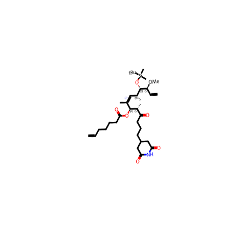 C=CCCCCC(=O)O[C@@H](/C(C)=C\[C@@H](C)[C@H](O[Si](C)(C)C(C)(C)C)[C@H](C=C)OC)[C@H](C)C(=O)CCCC1CC(=O)NC(=O)C1